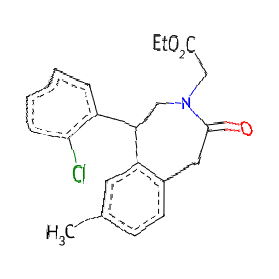 CCOC(=O)CN1CC(c2ccccc2Cl)c2cc(C)ccc2CC1=O